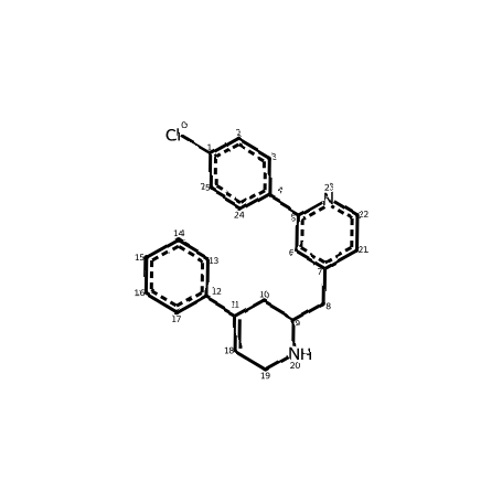 Clc1ccc(-c2cc(CC3CC(c4ccccc4)=CCN3)ccn2)cc1